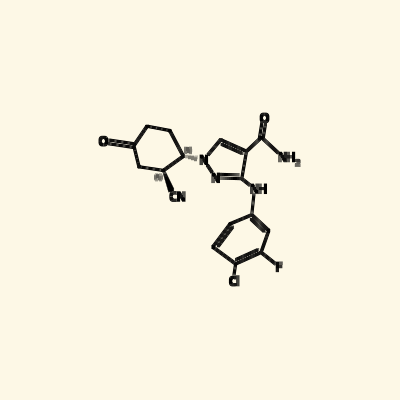 N#C[C@H]1CC(=O)CC[C@@H]1n1cc(C(N)=O)c(Nc2ccc(Cl)c(F)c2)n1